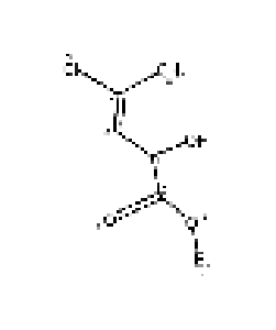 CCOC(=O)C(O)/C=C(\C)Cl